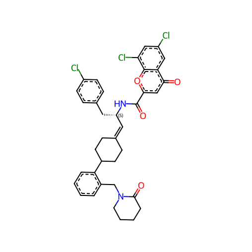 O=C(N[C@H](C=C1CCC(c2ccccc2CN2CCCCC2=O)CC1)Cc1ccc(Cl)cc1)c1cc(=O)c2cc(Cl)cc(Cl)c2o1